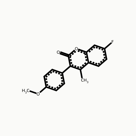 COc1ccc(-c2c(C)c3ccc(F)cc3oc2=O)cc1